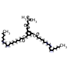 CCCCC/C=C\C/C=C\C=C\CCCCCC(=O)OCc1cc(COC(=O)CCCCCCC/C=C\C/C=C\CCCCC)cc(COC(=O)CCN(C)C)c1